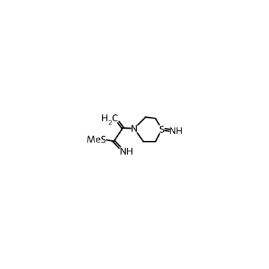 C=C(C(=N)SC)N1CCS(=N)CC1